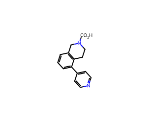 O=C(O)N1CCc2c(cccc2-c2ccncc2)C1